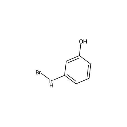 Oc1ccc[c]([InH][Br])c1